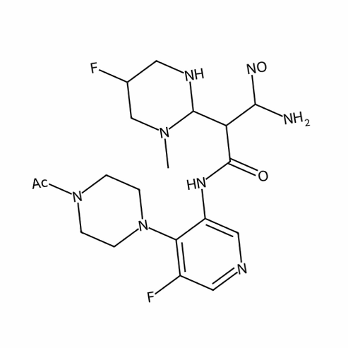 CC(=O)N1CCN(c2c(F)cncc2NC(=O)C(C(N)N=O)C2NCC(F)CN2C)CC1